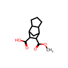 COC(=O)C1C2CC(C3CCCC32)C1C(=O)O